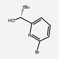 CC(C)(C)[C@@H](O)c1cccc(Br)n1